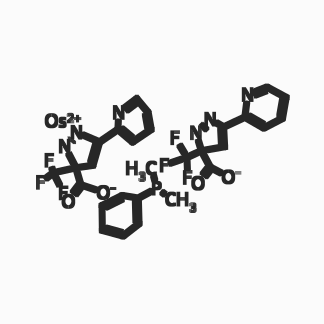 CP(C)c1ccccc1.O=C([O-])C1(C(F)(F)F)C=C(c2ccccn2)N=N1.O=C([O-])C1(C(F)(F)F)C=C(c2ccccn2)N=N1.[Os+2]